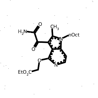 CCCCCCCCn1c(C)c(C(=O)C(N)=O)c2c(OCC(=O)OCC)nccc21